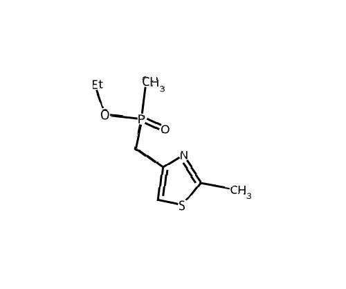 CCOP(C)(=O)Cc1csc(C)n1